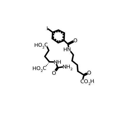 NC(=O)N[C@@H](CCC(=O)O)C(=O)O.O=C(O)C(=O)CCCCNC(=O)c1ccc(I)cc1